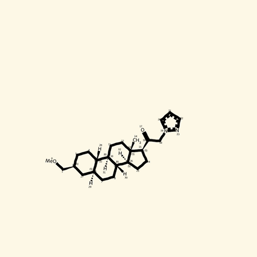 COC[C@H]1CC[C@H]2[C@@H](CC[C@@H]3[C@@H]2CC[C@]2(C)[C@@H](C(=O)Cn4cccn4)CC[C@@H]32)C1